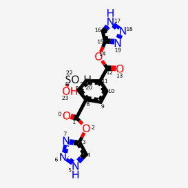 O=C(Oc1c[nH]nn1)c1ccc(C(=O)Oc2c[nH]nn2)cc1.O=S(=O)(O)O